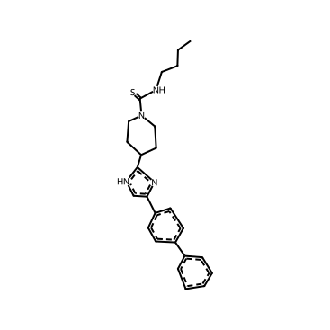 CCCCNC(=S)N1CCC(c2nc(-c3ccc(-c4ccccc4)cc3)c[nH]2)CC1